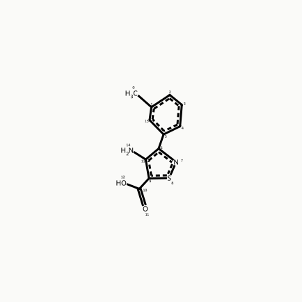 Cc1cccc(-c2nsc(C(=O)O)c2N)c1